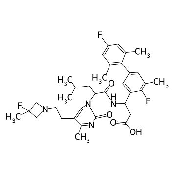 Cc1cc(-c2c(C)cc(F)cc2C)cc(C(CC(=O)O)NC(=O)C(CC(C)C)n2cc(CCN3CC(C)(F)C3)c(C)nc2=O)c1F